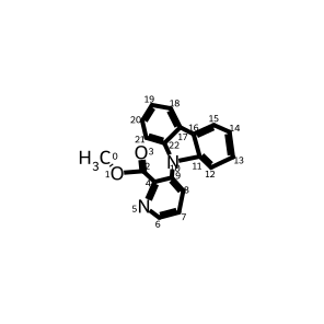 COC(=O)c1ncccc1-n1c2ccccc2c2ccccc21